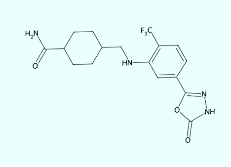 NC(=O)C1CCC(CNc2cc(-c3n[nH]c(=O)o3)ccc2C(F)(F)F)CC1